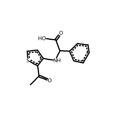 CC(=O)c1sccc1NC(C(=O)O)c1ccccc1